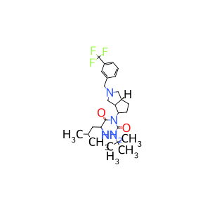 CC(C)C[C@H](N)C(=O)N(C(=O)NC(C)(C)C)C1CC[C@H]2CN(Cc3cccc(C(F)(F)F)c3)CC12